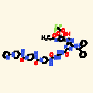 CCC(=O)N[C@H]1C[C@@H](n2cnc3c(NCC(c4ccccc4)c4ccccc4)nc(C(=O)NCCNC(=O)NC4CCN(C(=O)NC5CCN(C(=O)NC6CCN(c7ccccn7)CC6)CC5)CC4)nc32)[C@H](O)[C@@H]1OC(=O)C(F)(F)F